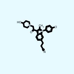 Cc1c(C(=O)CN2CCC(O)CC2)c2ccc(CCC#N)cc2n1-c1ccc(Cl)cc1